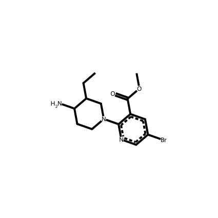 CCC1CN(c2ncc(Br)cc2C(=O)OC)CCC1N